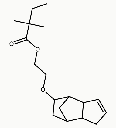 CCC(C)(C)C(=O)OCCOC1CC2CC1C1C=CCC21